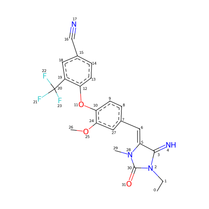 CCN1C(=N)C(=Cc2ccc(Oc3ccc(C#N)cc3C(F)(F)F)c(OC)c2)N(C)C1=O